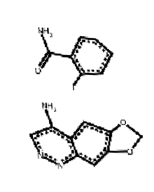 NC(=O)c1ccccc1I.Nc1cnnc2cc3c(cc12)OCO3